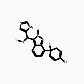 CCOC(c1cnc[nH]1)c1c2cccc(C3(Cl)C=CC(Cl)=CC3)c2nn1C